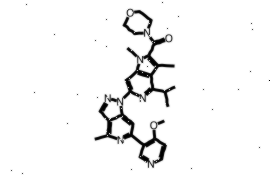 COc1ccncc1-c1cc2c(cnn2-c2cc3c(c(C(C)C)n2)c(C)c(C(=O)N2CCOCC2)n3C)c(C)n1